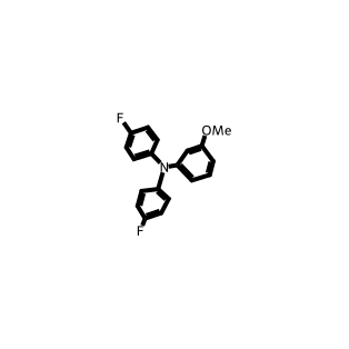 COc1cccc(N(c2ccc(F)cc2)c2ccc(F)cc2)c1